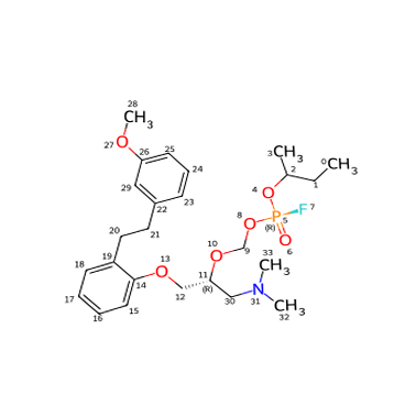 CCC(C)O[P@@](=O)(F)OCO[C@@H](COc1ccccc1CCc1cccc(OC)c1)CN(C)C